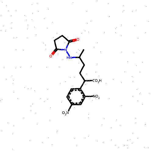 CC(CCC(C(=O)O)c1ccc([N+](=O)[O-])cc1[N+](=O)[O-])NN1C(=O)CCC1=O